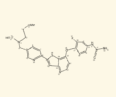 COCCN(Cc1ccc(-c2cc3nccc(Oc4ccc(NC(N)=O)cc4F)c3s2)nc1)C(=O)O